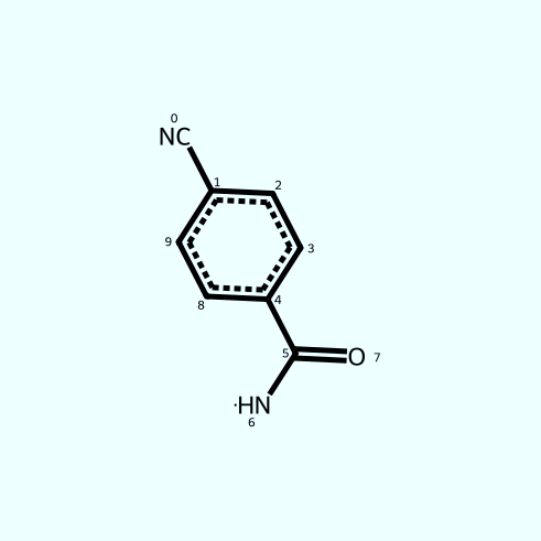 N#Cc1ccc(C([NH])=O)cc1